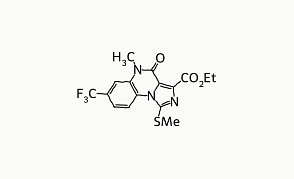 CCOC(=O)c1nc(SC)n2c1c(=O)n(C)c1cc(C(F)(F)F)ccc12